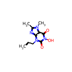 C=CCn1c(=O)n(O)c(=O)c2c1nc(C)n2C